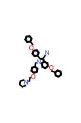 N#Cc1c(-c2ccc(OCc3ccccc3)cc2)n(Cc2ccc(OCCN3CCCCC3)cc2)c2ccc(OCc3ccccc3)cc12